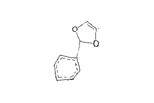 [C]1=COC(c2ccccc2)O1